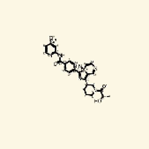 C[C@H](O)C(=O)N1CCC[C@@H](C2=C3C=NC=C[N+]3(N)C(c3ccc(C(=O)Nc4cc(C(F)(F)F)ccn4)cc3)=N2)C1